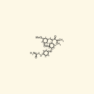 COc1cc(C=C(C(=O)N(C)C)c2ccc(Oc3ccc(CCC(N)=O)cc3)cc2)cc(OC)c1